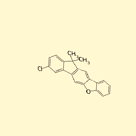 CC1(C)c2ccc(Cl)cc2-c2cc3oc4ccccc4c3cc21